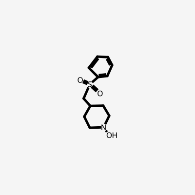 O=S(=O)(CC1CCN(O)CC1)c1ccccc1